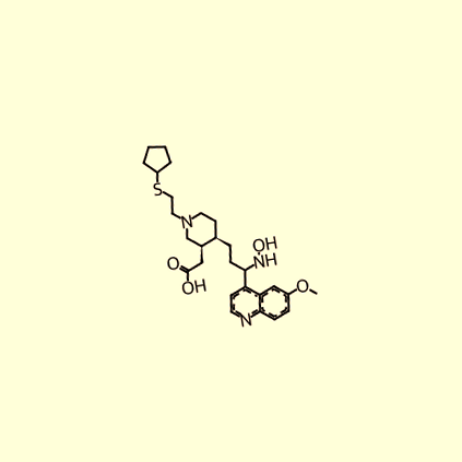 COc1ccc2nccc(C(CC[C@@H]3CCN(CCSC4CCCC4)C[C@@H]3CC(=O)O)NO)c2c1